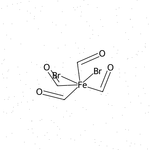 O=[CH][Fe]([Br])([Br])([CH]=O)([CH]=O)[CH]=O